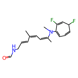 CC(=C/C=C(/C)N(C)C1=CC=CC(F)C=C1F)/C=C/CNC=O